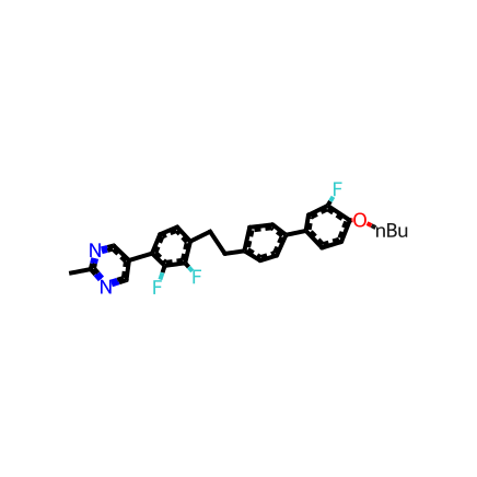 CCCCOc1ccc(-c2ccc(CCc3ccc(-c4cnc(C)nc4)c(F)c3F)cc2)cc1F